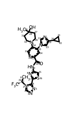 C[C@H](n1cnnc1-c1nc(NC(=O)c2cc(-n3cnc(C4CC4)c3)c(N3CCC(C)(O)CC3)cn2)cs1)C(F)(F)F